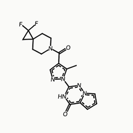 Cc1c(C(=O)N2CCC3(CC2)CC3(F)F)cnn1-c1nn2cccc2c(=O)[nH]1